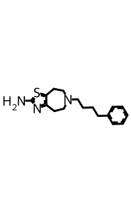 Nc1nc2c(s1)CCN(CCCCc1ccccc1)CC2